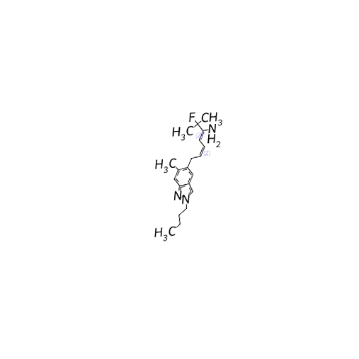 CCCCn1cc2cc(C/C=C\C=C(/N)C(C)(C)F)c(C)cc2n1